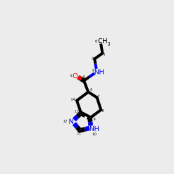 CCCNC(=O)C1CCc2[nH]cnc2C1